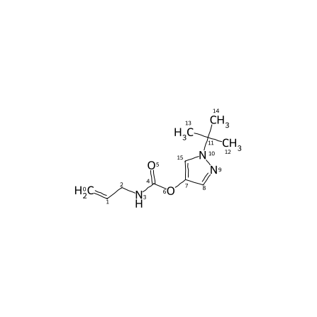 C=CCNC(=O)Oc1cnn(C(C)(C)C)c1